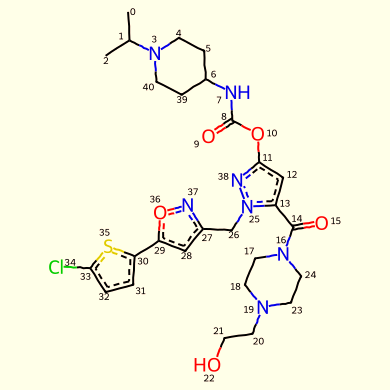 CC(C)N1CCC(NC(=O)Oc2cc(C(=O)N3CCN(CCO)CC3)n(Cc3cc(-c4ccc(Cl)s4)on3)n2)CC1